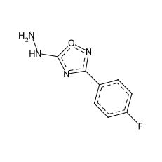 NNc1nc(-c2ccc(F)cc2)no1